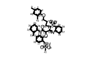 Cc1ccc(OCCCN2C(C(Oc3ccccc3NS(C)(=O)=O)C(=O)Nc3ccccc3C)=Nc3ccccc3S2(=O)=O)c(C)c1